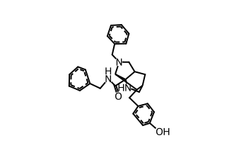 O=C(NCc1ccccc1)C12NCC3CC1CN(Cc1ccccc1)C2C3Cc1ccc(O)cc1